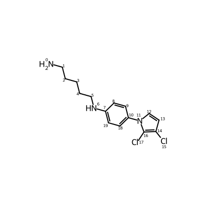 NCCCCCNc1ccc(-n2ccc(Cl)c2Cl)cc1